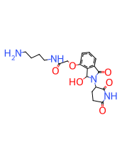 NCCCCNC(=O)COc1cccc2c1C(O)N(C1CCC(=O)NC1=O)C2=O